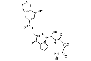 CCCNC(=O)C1OC1C(=O)NC(C(=O)N1CCCC1C(=O)NCOC(=O)C1=CN(CCC)c2cnccc2C1)C(C)CC